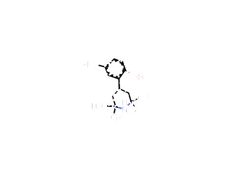 Cc1ccc(O)c(C2CC(C)(C)NC(C)(C)C2)c1